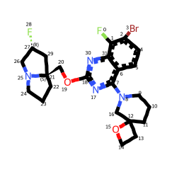 Fc1c(Br)ccc2c(N3CCCC4(CCO4)C3)nc(OC[C@@]34CCCN3C[C@H](F)C4)nc12